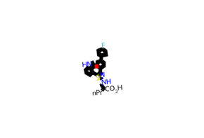 CCCC(CNc1nc(-c2ccc(-c3ccc(F)cc3)cc2)c(-c2cccc3[nH]ccc23)s1)C(=O)O